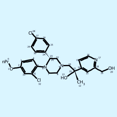 CCCOc1ccc(N2CCN(C[C@@](C)(O)c3ccnc(CO)c3)C[C@H]2c2ccc(Cl)cc2)c(Cl)c1